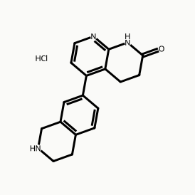 Cl.O=C1CCc2c(-c3ccc4c(c3)CNCC4)ccnc2N1